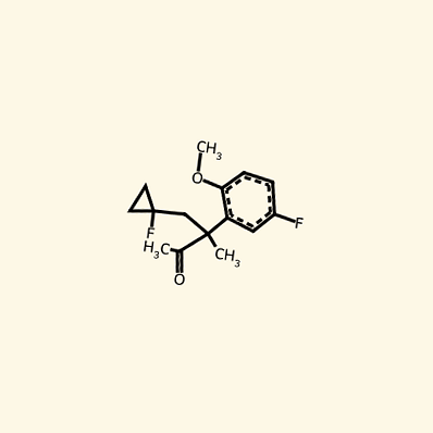 COc1ccc(F)cc1C(C)(CC1(F)CC1)C(C)=O